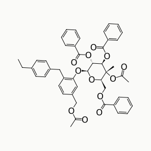 CCc1ccc(Cc2ccc(COC(C)=O)cc2O[C@@H]2O[C@H](COC(=O)c3ccccc3)[C@@](C)(OC(C)=O)[C@H](OC(=O)c3ccccc3)[C@H]2OC(=O)c2ccccc2)cc1